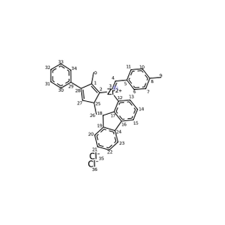 CC1=[C](/[Zr+2](=[CH]/c2ccc(C)cc2)[c]2cccc3c2Cc2ccccc2-3)C(C)C=C1c1ccccc1.[Cl-].[Cl-]